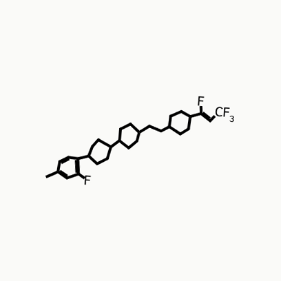 Cc1ccc(C2CCC(C3CCC(CCC4CCC(/C(F)=C/C(F)(F)F)CC4)CC3)CC2)c(F)c1